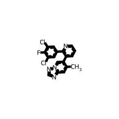 Cc1cc2ncnn2cc1-c1cccnc1-c1cc(Cl)c(F)c(Cl)c1